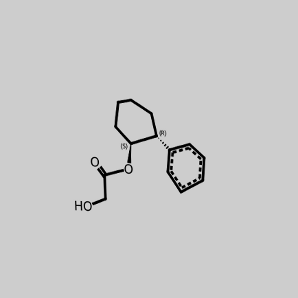 O=C(CO)O[C@H]1CCCC[C@@H]1c1ccccc1